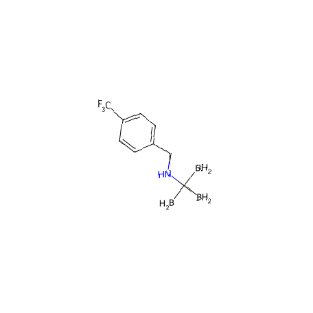 BC(B)(B)NCc1ccc(C(F)(F)F)cc1